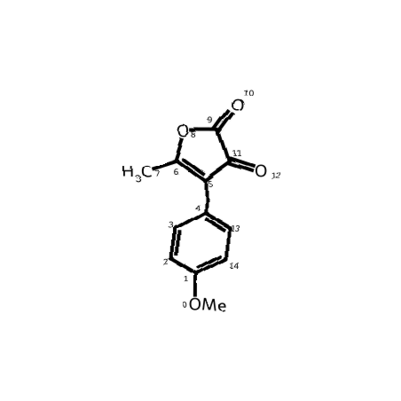 COc1ccc(C2=C(C)OC(=O)C2=O)cc1